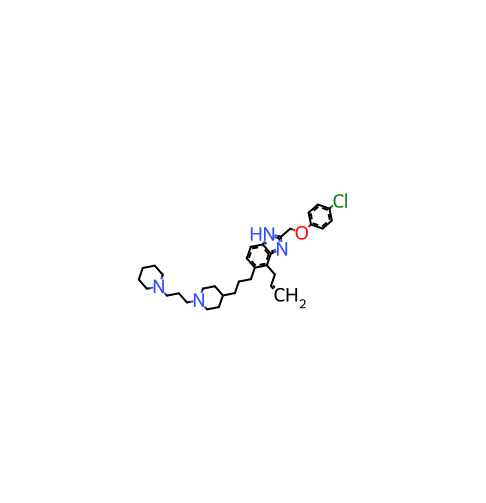 C=CCc1c(CCCC2CCN(CCCN3CCCCC3)CC2)ccc2[nH]c(COc3ccc(Cl)cc3)nc12